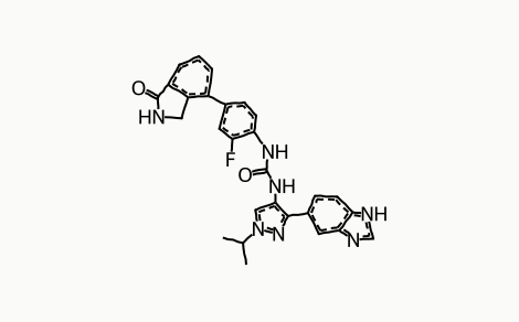 CC(C)n1cc(NC(=O)Nc2ccc(-c3cccc4c3CNC4=O)cc2F)c(-c2ccc3[nH]cnc3c2)n1